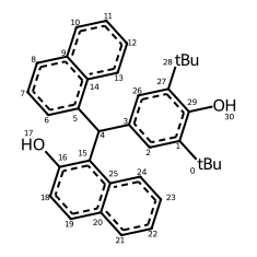 CC(C)(C)c1cc(C(c2cccc3ccccc23)c2c(O)ccc3ccccc23)cc(C(C)(C)C)c1O